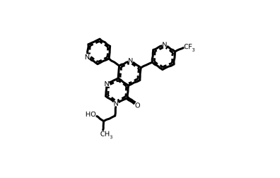 CC(O)Cn1cnc2c(-c3cccnc3)nc(-c3ccc(C(F)(F)F)nc3)cc2c1=O